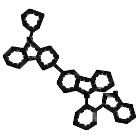 c1ccc(-n2c3ccccc3c3cc(-c4ccc5c(c4)c4ccccc4n5-c4ccccc4-c4csc5ccccc45)ccc32)cc1